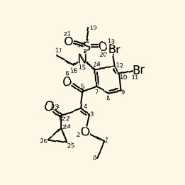 CCOC=C(C(=O)c1ccc(Br)c(Br)c1N(CC)S(C)(=O)=O)C(=O)C1CC1